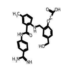 Cc1ccc(NCc2cc(CO)ccc2OCC(=O)O)c(C(=O)Nc2ccc(C(=N)N)cc2)c1